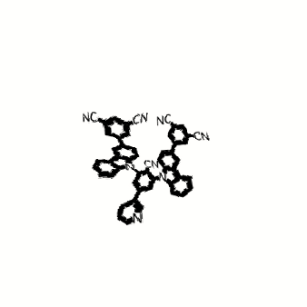 N#Cc1cc(C#N)cc(-c2ccc3c(c2)c2ccccc2n3-c2cc(-c3cccnc3)cc(-n3c4ccccc4c4cc(-c5cc(C#N)cc(C#N)c5)ccc43)c2C#N)c1